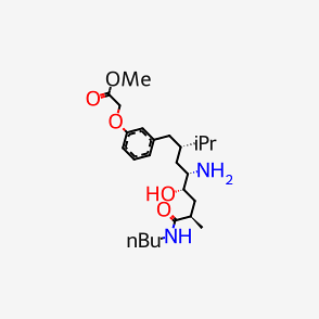 CCCCNC(=O)[C@H](C)C[C@H](O)[C@@H](N)C[C@H](Cc1cccc(OCC(=O)OC)c1)C(C)C